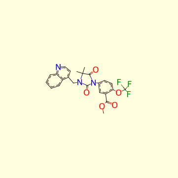 COC(=O)c1cc(N2C(=O)N(Cc3ccnc4ccccc34)C(C)(C)C2=O)ccc1OC(F)(F)F